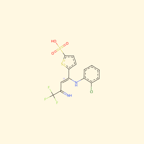 N=C(/C=C(\Nc1ccccc1Cl)c1ccc(S(=O)(=O)O)s1)C(F)(F)F